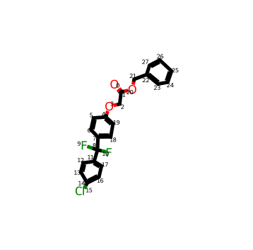 O=C(COc1ccc(C(F)(F)c2ccc(Cl)cc2)cc1)OCc1ccccc1